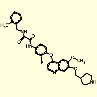 COc1cc2c(Oc3ccc(NC(=O)C(=O)NCc4ccccc4C)cc3F)ccnc2cc1OCC1CCNCC1